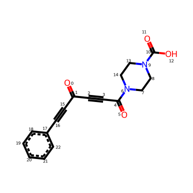 O=C(C#CC(=O)N1CCN(C(=O)O)CC1)C#Cc1ccccc1